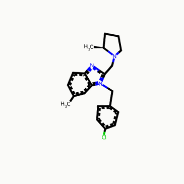 Cc1ccc2nc(CN3CCC[C@@H]3C)n(Cc3ccc(Cl)cc3)c2c1